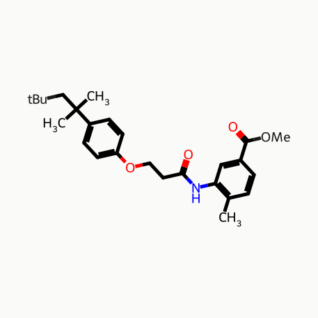 COC(=O)c1ccc(C)c(NC(=O)CCOc2ccc(C(C)(C)CC(C)(C)C)cc2)c1